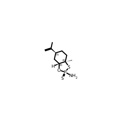 C=C(C)[C@H]1CC[C@@]2(C)SP(N)(=S)O[C@@H]2C1